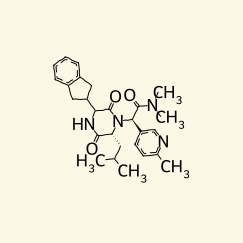 Cc1ccc([C@H](C(=O)N(C)C)N2C(=O)C(C3Cc4ccccc4C3)NC(=O)[C@H]2CC(C)C)cn1